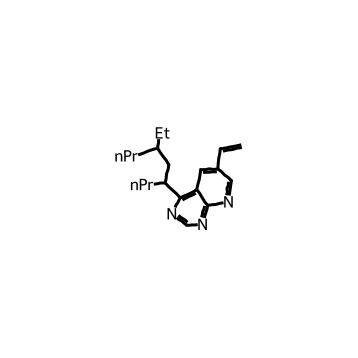 C=Cc1cnc2ncnc(C(CCC)CC(CC)CCC)c2c1